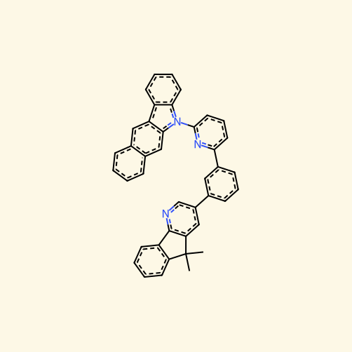 CC1(C)c2ccccc2-c2ncc(-c3cccc(-c4cccc(-n5c6ccccc6c6cc7ccccc7cc65)n4)c3)cc21